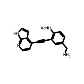 CC(=O)Nc1ccc(CN)cc1C#Cc1ccnc2[nH]ccc12